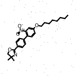 CCCCCCCCOc1ccc(-c2ccc(C3=NC(C)(C)CO3)cc2)c([N+](=O)[O-])c1